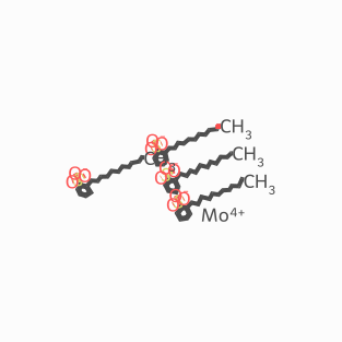 CCCCCCCCCCCCc1ccccc1S(=O)(=O)[O-].CCCCCCCCCCCCc1ccccc1S(=O)(=O)[O-].CCCCCCCCCCCCc1ccccc1S(=O)(=O)[O-].CCCCCCCCCCCCc1ccccc1S(=O)(=O)[O-].[Mo+4]